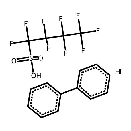 I.O=S(=O)(O)C(F)(F)C(F)(F)C(F)(F)C(F)(F)F.c1ccc(-c2ccccc2)cc1